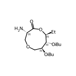 CC[C@@H]1OC(=O)[C@@H](N)COC[C@H](OCC(C)C)[C@H]1OCC(C)C